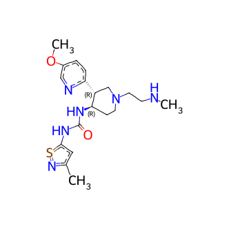 CNCCN1CC[C@@H](NC(=O)Nc2cc(C)ns2)[C@H](c2ccc(OC)cn2)C1